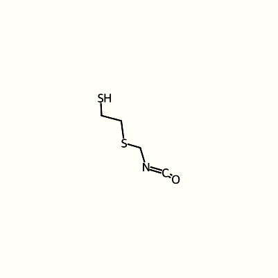 O=C=NCSCCS